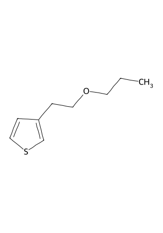 CCCOCCc1ccsc1